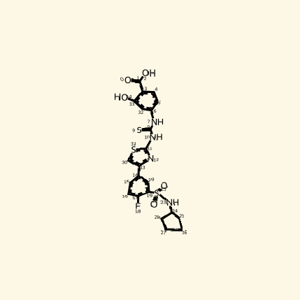 O=C(O)c1ccc(NC(=S)Nc2nc(-c3ccc(F)c(S(=O)(=O)NC4CCCC4)c3)cs2)cc1O